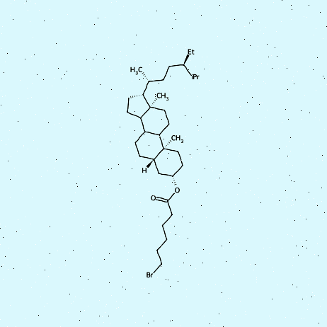 CC[C@H](CC[C@@H](C)[C@H]1CCC2C3CC[C@H]4C[C@@H](OC(=O)CCCCCBr)CC[C@]4(C)C3CC[C@@]21C)C(C)C